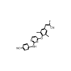 Cc1cc(/C=C(/F)C#N)cc(C)c1Oc1ccnc(Nc2ccc(C#N)cc2)n1